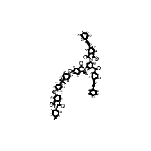 Cc1ccc(N2C(=O)c3ccc(Oc4ccc(C(C)(C)c5ccc(Oc6ccc7c(c6)C(=O)N(c6cc(C(=O)c8ccc(C#Cc9ccccc9)cc8)cc(N8C(=O)c9ccc(C#Cc%10ccccc%10)cc9C8=O)c6)C7=O)cc5)cc4)cc3C2=O)cc1